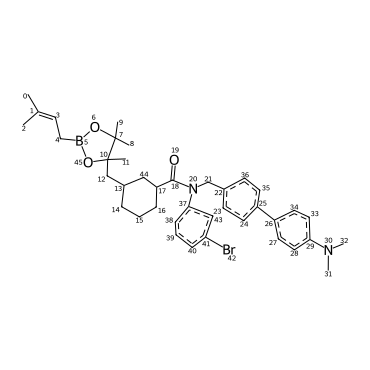 CC(C)=CCB1OC(C)(C)C(C)(CC2CCCC(C(=O)N(Cc3ccc(-c4ccc(N(C)C)cc4)cc3)c3cccc(Br)c3)C2)O1